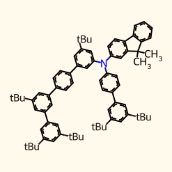 CC(C)(C)c1cc(-c2ccc(-c3cc(N(c4ccc(-c5cc(C(C)(C)C)cc(C(C)(C)C)c5)cc4)c4ccc5c(c4)C(C)(C)c4ccccc4-5)cc(C(C)(C)C)c3)cc2)cc(-c2cc(C(C)(C)C)cc(C(C)(C)C)c2)c1